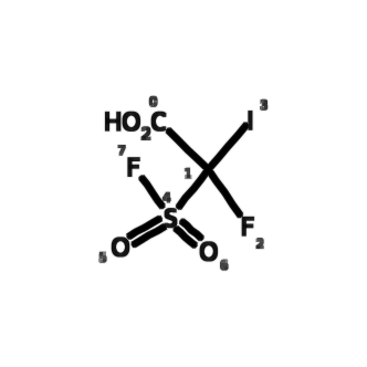 O=C(O)C(F)(I)S(=O)(=O)F